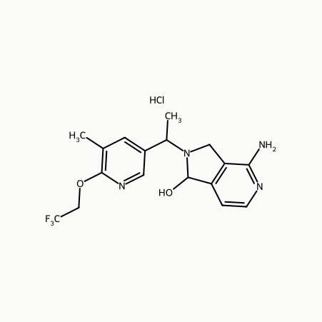 Cc1cc(C(C)N2Cc3c(ccnc3N)C2O)cnc1OCC(F)(F)F.Cl